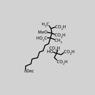 CCCCCCCCCCCCCCCCCCC(C)(C(=O)O)C(OC)(C(=O)O)C(C)C(=O)O.O=C(O)CC(O)(CC(=O)O)C(=O)O